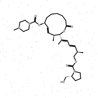 C/C(=C\C=C\[C@@H](C)COC(=O)N1CCC[C@@H]1CO)[C@H]1OC(=O)CCCCC[C@H](OC(=O)N2CCN(C)CC2)/C=C/[C@@H]1C